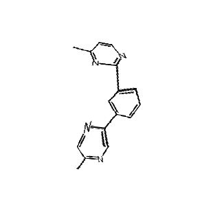 Cc1cnc(-c2cccc(-c3nccc(C)n3)c2)cn1